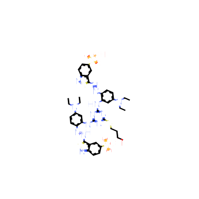 CCCCSc1nc(Nc2cc(N(CC)CC)ccc2/N=N/c2snc3ccc(S(=O)(=O)O)cc23)nc(Nc2cc(N(CC)CC)ccc2/N=N/c2snc3ccc(S(=O)(=O)O)cc23)n1